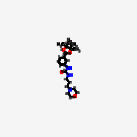 CC1(C)OB(c2cccc(NC(=O)NCCCN3CCOCC3)c2)OC1(C)C